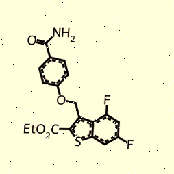 CCOC(=O)c1sc2cc(F)cc(F)c2c1COc1ccc(C(N)=O)cc1